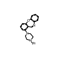 CC(C)N1CCN(c2cccc3c2C=Nc2ccccc2O3)CC1